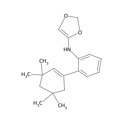 CC1(C)C=C(c2ccccc2NC2=COCO2)CC(C)(C)C1